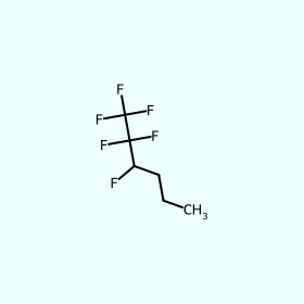 CCCC(F)C(F)(F)C(F)(F)F